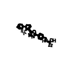 CCC(O)NCc1ccc(-c2nnc(-c3cccc(-c4ccccc4)c3C)o2)cc1